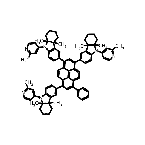 Cc1cc(N2c3ccc(-c4cc(-c5ccccc5)c5ccc6c(-c7ccc8c(c7)C7(C)CCCCC7(C)N8c7ccnc(C)c7)cc(-c7ccc8c(c7)C7(C)CCCCC7(C)N8c7ccnc(C)c7)c7ccc4c5c67)cc3C3(C)CCCCC23C)ccn1